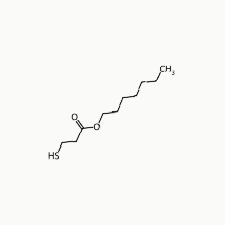 CCCCCCCOC(=O)CCS